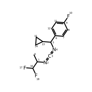 CC(N=C=NC(c1ccc(F)cc1)C1CC1)C(F)F